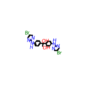 OCC(O)(c1ccc(Nc2ncc(Br)cn2)cc1)c1ccc(Nc2ncc(Br)cn2)cc1